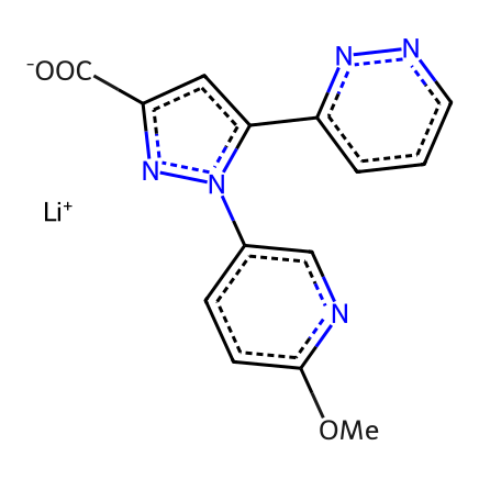 COc1ccc(-n2nc(C(=O)[O-])cc2-c2cccnn2)cn1.[Li+]